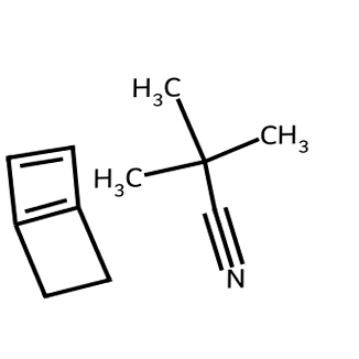 C1=CC2=C1CC2.CC(C)(C)C#N